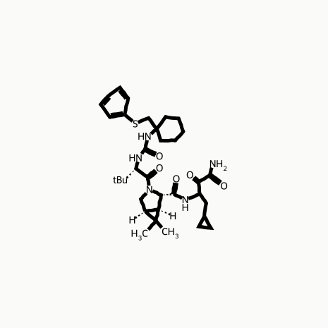 CC(C)(C)[C@H](NC(=O)NC1(CSc2ccccc2)CCCCC1)C(=O)N1C[C@H]2[C@@H]([C@H]1C(=O)NC(CC1CC1)C(=O)C(N)=O)C2(C)C